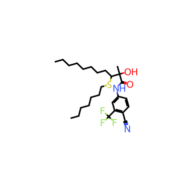 CCCCCCCCC(SCCCCCCC)C(C)(O)C(=O)Nc1ccc(C#N)c(C(F)(F)F)c1